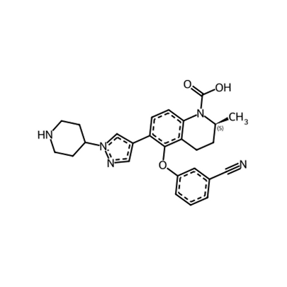 C[C@H]1CCc2c(ccc(-c3cnn(C4CCNCC4)c3)c2Oc2cccc(C#N)c2)N1C(=O)O